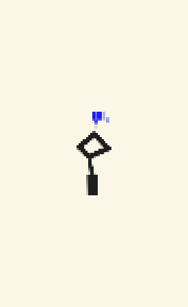 C#C[C@H]1C[C@H](N)C1